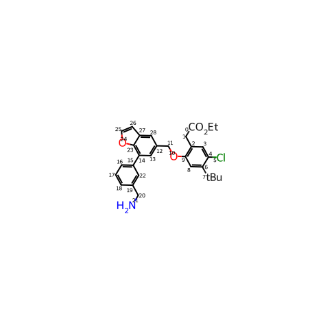 CCOC(=O)Cc1cc(Cl)c(C(C)(C)C)cc1OCc1cc(-c2cccc(CN)c2)c2occc2c1